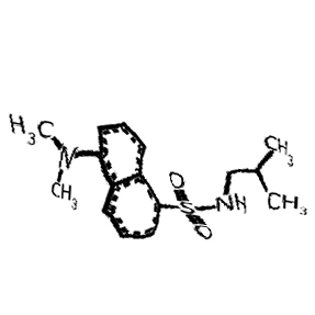 CC(C)CNS(=O)(=O)c1cccc2c(N(C)C)cccc12